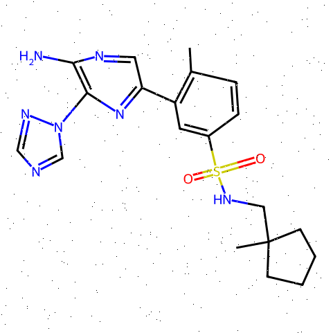 Cc1ccc(S(=O)(=O)NCC2(C)CCCC2)cc1-c1cnc(N)c(-n2cncn2)n1